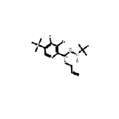 C=CCC[C@@H](N[S@@+]([O-])C(C)(C)C)c1ncc([Si](C)(C)C)c(F)c1Br